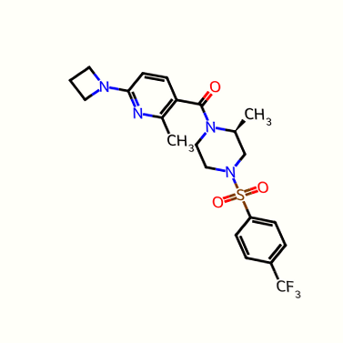 Cc1nc(N2CCC2)ccc1C(=O)N1CCN(S(=O)(=O)c2ccc(C(F)(F)F)cc2)C[C@@H]1C